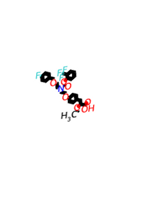 CCOC(Cc1ccc(OCCN(CCOCc2ccc(F)cc2)C(=O)Oc2ccccc2C(F)(F)F)cc1)C(=O)O